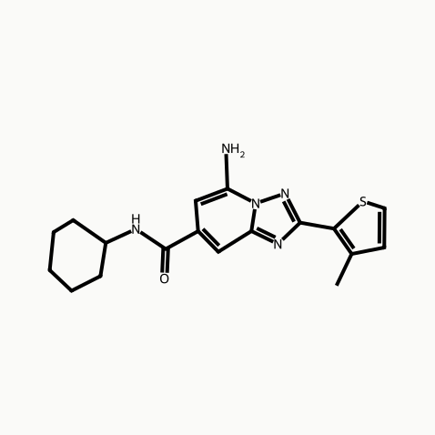 Cc1ccsc1-c1nc2cc(C(=O)NC3CCCCC3)cc(N)n2n1